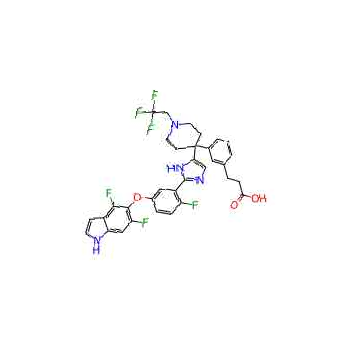 O=C(O)CCc1cccc(C2(c3cnc(-c4cc(Oc5c(F)cc6[nH]ccc6c5F)ccc4F)[nH]3)CCN(CC(F)(F)F)CC2)c1